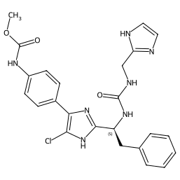 COC(=O)Nc1ccc(-c2nc([C@H](Cc3ccccc3)NC(=O)NCc3ncc[nH]3)[nH]c2Cl)cc1